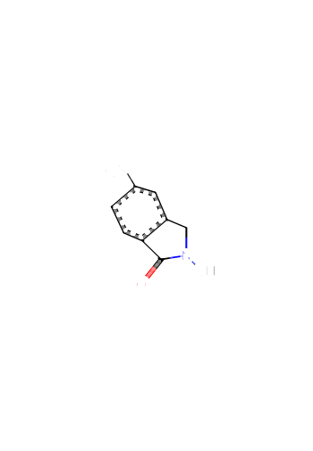 CN1Cc2cc(C(=O)O)ccc2C1=O